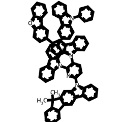 CC1(C)c2ccccc2-c2cc3c4ccccc4n(-c4ccc(-n5c6ccccc6c6cc(-c7ccc8oc9ccccc9c8c7)ccc65)c(-n5c6ccccc6c6ccc(-c7ccc8c(c7)c7ccccc7n8-c7ccccc7)cc65)n4)c3cc21